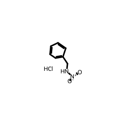 Cl.O=[N+]([O-])NCc1ccccc1